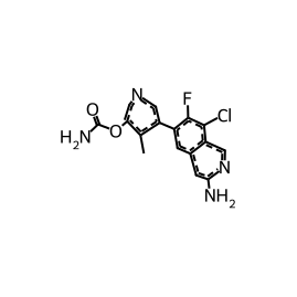 Cc1c(OC(N)=O)cncc1-c1cc2cc(N)ncc2c(Cl)c1F